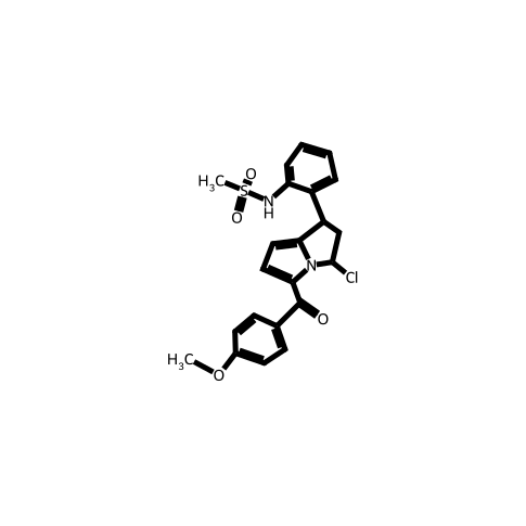 COc1ccc(C(=O)c2ccc3n2C(Cl)CC3c2ccccc2NS(C)(=O)=O)cc1